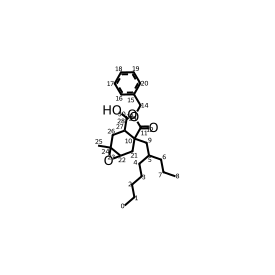 CCCCCC(CCC)CC1(C(=O)OCc2ccccc2)CC2OC2(C)CC1C(=O)O